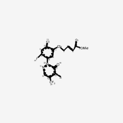 COC(=O)C=CCOc1cc(-n2ncc(C(F)(F)F)c(C)c2=O)c(F)cc1Cl